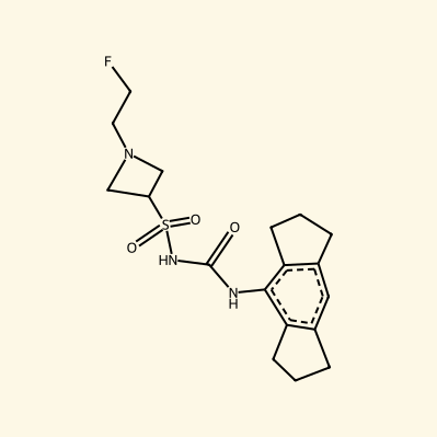 O=C(Nc1c2c(cc3c1CCC3)CCC2)NS(=O)(=O)C1CN(CCF)C1